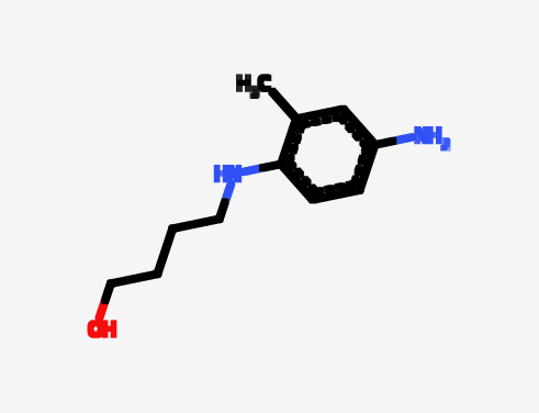 Cc1cc(N)ccc1NCCCCO